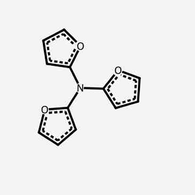 c1coc(N(c2ccco2)c2ccco2)c1